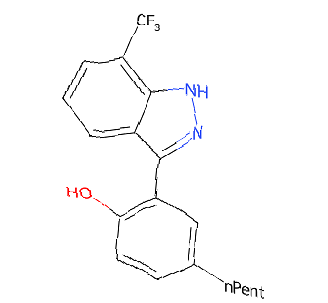 CCCCCc1ccc(O)c(-c2n[nH]c3c(C(F)(F)F)cccc23)c1